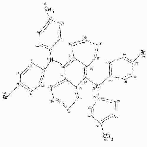 Cc1ccc(N(c2ccc(Br)cc2)c2c3ccccc3c(N(c3ccc(C)cc3)c3ccc(Br)cc3)c3ccccc23)cc1